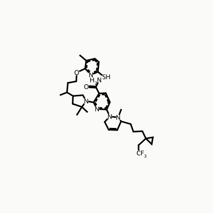 Cc1ccc(S)nc1OCCC(C)C1CN(c2nc(N3CC=CC(CCCC4(CC(F)(F)F)CC4)N3C)ccc2C(N)=O)C(C)(C)C1